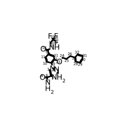 C=NN(/C=C(\N)C(N)=O)c1ccc(C(=O)NCC(F)(F)F)cc1OCCCc1ccccc1